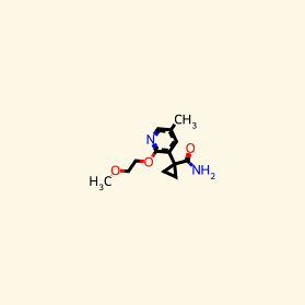 COCCOc1ncc(C)cc1C1(C(N)=O)CC1